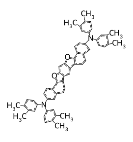 Cc1ccc(N(c2ccc(C)c(C)c2)c2ccc3c(ccc4c5cc6c(cc5oc34)oc3c4ccc(N(c5ccc(C)c(C)c5)c5ccc(C)c(C)c5)cc4ccc63)c2)cc1C